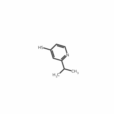 CC(C)c1cc(S)ccn1